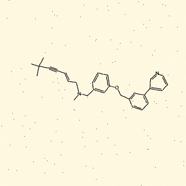 CN(CC=CC#CC(C)(C)C)Cc1cccc(OCc2cccc(-c3cccnc3)c2)c1